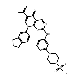 O=C(I)c1cn(-c2ccc3c(c2)CCC3)c2nc(Nc3cccc(N4CCN(S(=O)(=O)C(F)(F)F)CC4)c3)ncc2c1=O